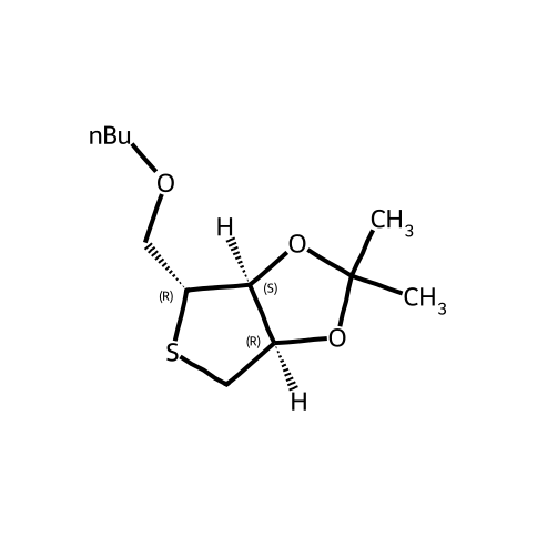 CCCCOC[C@H]1SC[C@@H]2OC(C)(C)O[C@@H]21